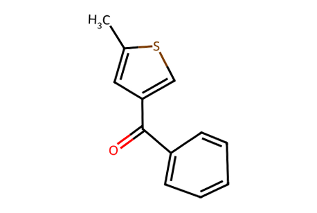 Cc1cc(C(=O)c2ccccc2)cs1